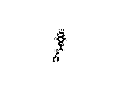 CC(C)(C)c1cnc2c(n1)C(=O)c1cc(C(=O)NCCN3CCOCC3)sc1C2=O